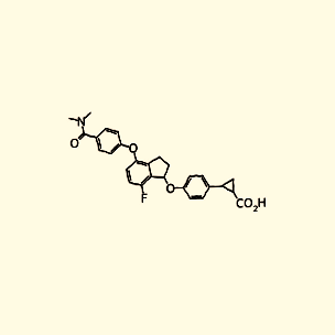 CN(C)C(=O)c1ccc(Oc2ccc(F)c3c2CCC3Oc2ccc(C3CC3C(=O)O)cc2)cc1